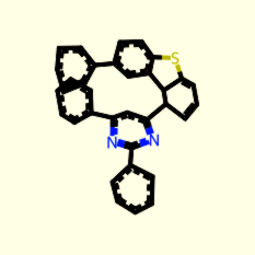 C1=CC(c2cc(-c3ccccc3)nc(-c3ccccc3)n2)C2C(=C1)Sc1ccc(-c3ccccc3)cc12